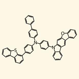 c1ccc(-c2ccc(N(c3ccc(-c4cccc5c4sc4ccccc45)cc3)c3ccc(-n4c5ccccc5c5cc6c(cc54)oc4ccccc46)cc3)cc2)cc1